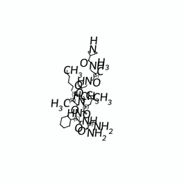 CCCCCC[C@H](OC(=O)CNC(=O)[C@@H](C)CNC(=O)C1CNC1)[C@@H](C)C(=O)N(C)[C@@H](CC(C)C)C(=O)N[C@H](C(=O)N[C@@H](CN)C(N)=O)C1CCCCC1